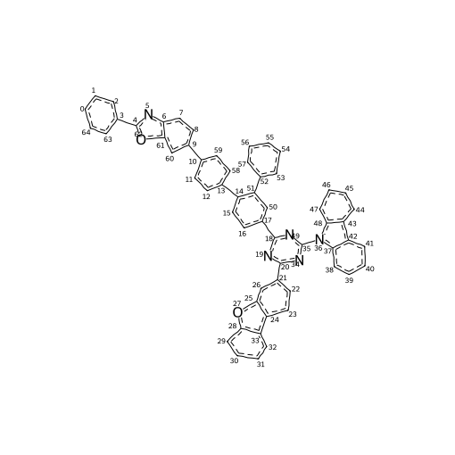 c1ccc(-c2nc3ccc(-c4ccc(-c5ccc(-c6nc(-c7ccc8c(c7)oc7ccccc78)nc(-n7c8ccccc8c8ccccc87)n6)cc5-c5ccccc5)cc4)cc3o2)cc1